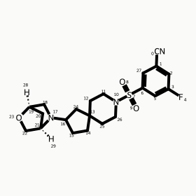 N#Cc1cc(F)cc(S(=O)(=O)N2CCC3(CCC(N4C[C@H]5C[C@@H]4CO5)C3)CC2)c1